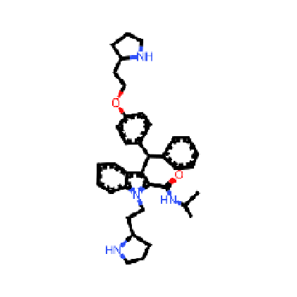 CC(C)NC(=O)c1c(C(c2ccccc2)c2ccc(OCCC3CCCN3)cc2)c2ccccc2n1CCC1CCCN1